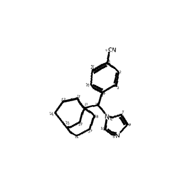 N#Cc1ccc(C(n2ccnc2)C23CCCC(CCC2)C3)cc1